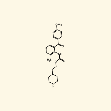 COc1ccc(C(=O)c2cccc(N)c2NC(=O)OCCC2CCNCC2)cc1